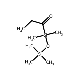 CCC(=O)[Si](C)(C)O[Si](C)(C)C